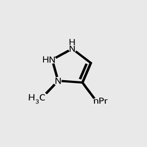 CCCC1=CNNN1C